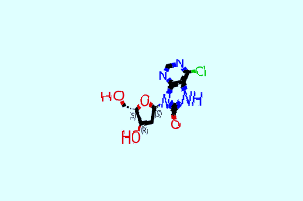 O=c1[nH]c2c(Cl)ncnc2n1[C@@H]1C[C@@H](O)[C@H](CO)O1